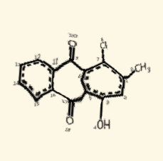 Cc1cc(O)c2c(c1Cl)C(=O)c1ccccc1C2=O